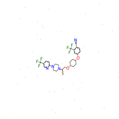 N#Cc1ccc(OC2CCC(OCC(=S)N3CCN(c4ccc(C(F)(F)F)cn4)CC3)CC2)cc1C(F)(F)F